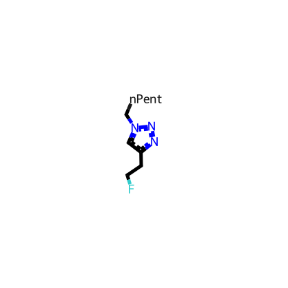 CCCCCCn1cc(CCF)nn1